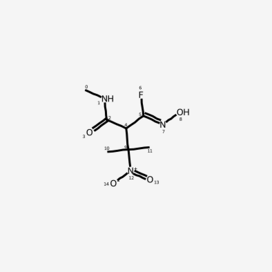 CNC(=O)C(C(F)=NO)C(C)(C)[N+](=O)[O-]